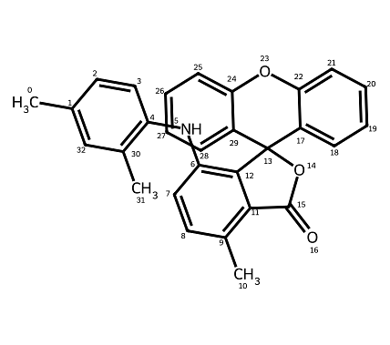 Cc1ccc(Nc2ccc(C)c3c2C2(OC3=O)c3ccccc3Oc3ccccc32)c(C)c1